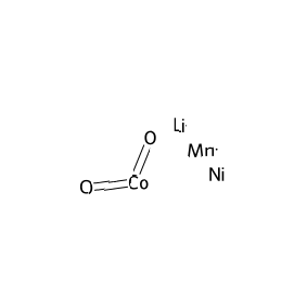 [Li].[Mn].[Ni].[O]=[Co]=[O]